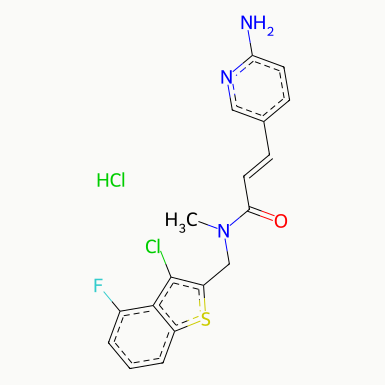 CN(Cc1sc2cccc(F)c2c1Cl)C(=O)C=Cc1ccc(N)nc1.Cl